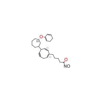 O=NC(=O)CCCCC1=C/CC#CC(C2CCCC[C@H](OC3=CCCC=C3)C2)/C=C\1